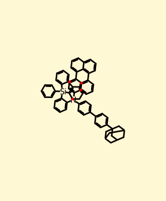 C1=CC2=C(CC1)[Si](c1ccccc1)(c1ccccc1N(c1ccc(-c3ccc(C45CC6CC(CC(C6)C4)C5)cc3)cc1)c1ccc(-c3cccc4cccc(-c5ccccc5)c34)cc1)c1ccccc12